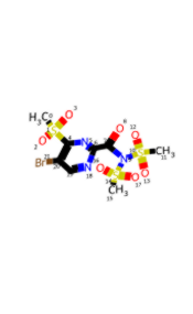 CS(=O)(=O)c1nc(C(=O)N(S(C)(=O)=O)S(C)(=O)=O)ncc1Br